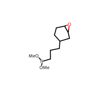 C[O][Ti]([CH2]CCC1CCC2OC2C1)[O]C